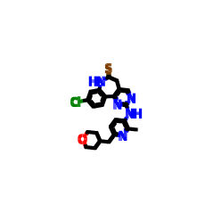 Cc1nc(CC2CCOCC2)ccc1Nc1ncc2c(n1)-c1ccc(Cl)cc1NC(=S)C2